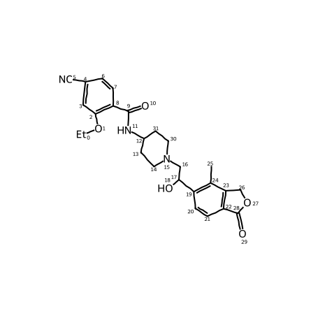 CCOc1cc(C#N)ccc1C(=O)NC1CCN(CC(O)c2ccc3c(c2C)COC3=O)CC1